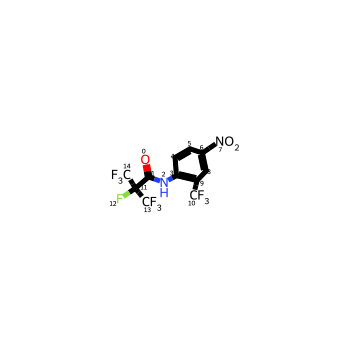 O=C(Nc1ccc([N+](=O)[O-])cc1C(F)(F)F)C(F)(C(F)(F)F)C(F)(F)F